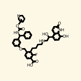 O=C(NC(c1ccccc1)c1cccc(OCc2ccc(C(=O)O)c(F)c2CCCCNCC(O)c2ccc(O)c3[nH]c(=O)ccc23)c1)OC1CN2CCC1CC2